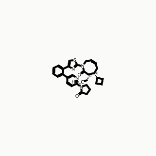 O=C(O)C[C@@H]1C(=O)N(c2nc(-c3ccccc3-c3ccc(N4CCCC4=O)nc3)cs2)CC=CC[C@@H]1C1CCC1